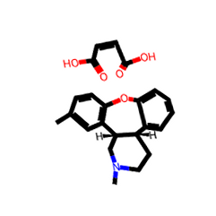 Cc1ccc2c(c1)[C@H]1CN(C)CC[C@H]1c1ccccc1O2.O=C(O)/C=C\C(=O)O